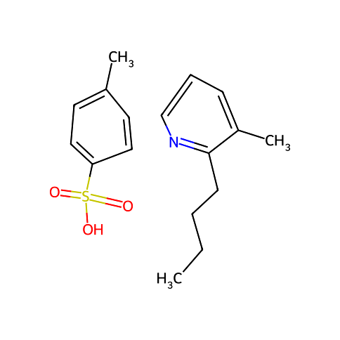 CCCCc1ncccc1C.Cc1ccc(S(=O)(=O)O)cc1